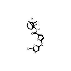 C[C@H]1[C@H](NC(=O)c2ccc(Oc3cnc(Cl)o3)s2)C2CCN1CC2